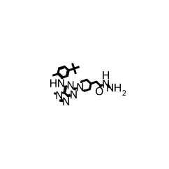 Cc1ccc(C(C)(C)C)cc1Nc1nc(N2CCC(CC(=O)NN)CC2)nc2ncn(C)c12